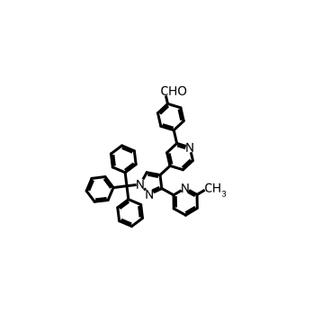 Cc1cccc(-c2nn(C(c3ccccc3)(c3ccccc3)c3ccccc3)cc2-c2ccnc(-c3ccc(C=O)cc3)c2)n1